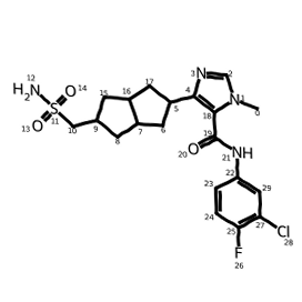 Cn1cnc(C2CC3CC(CS(N)(=O)=O)CC3C2)c1C(=O)Nc1ccc(F)c(Cl)c1